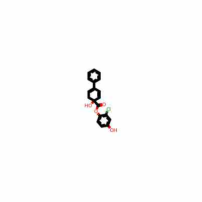 O=C(Oc1ccc(O)cc1Cl)C1(O)C=CC(c2ccccc2)=CC1